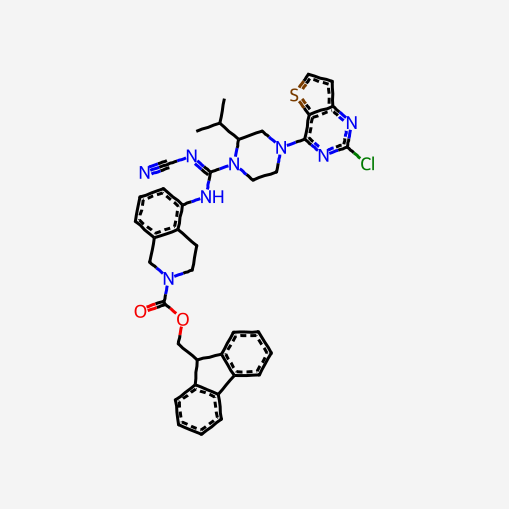 CC(C)C1CN(c2nc(Cl)nc3ccsc23)CCN1C(=NC#N)Nc1cccc2c1CCN(C(=O)OCC1c3ccccc3-c3ccccc31)C2